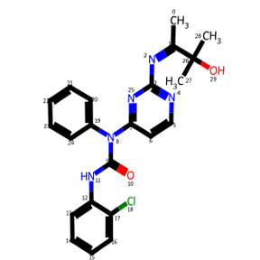 CC(=Nc1nccc(N(C(=O)Nc2ccccc2Cl)c2ccccc2)n1)C(C)(C)O